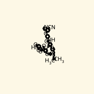 CN(C)CCN(CC1CCN(c2ccc(C(=O)N[C@H]3CC[C@H](Oc4ccc(C#N)c5ncccc45)CC3)cc2F)CC1)C1CC(Oc2ccc3c(c2)C(=O)N(C2CCC(=O)NC2=O)C3=O)C1